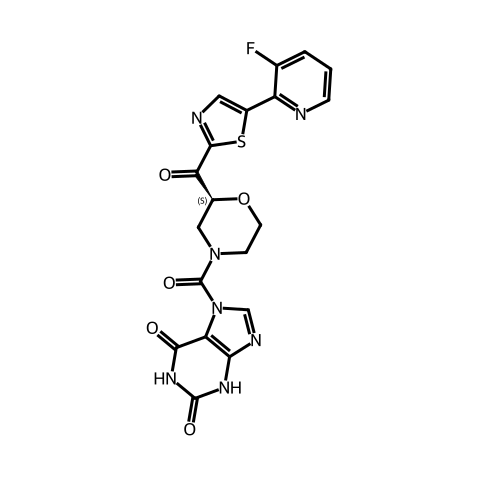 O=C(c1ncc(-c2ncccc2F)s1)[C@@H]1CN(C(=O)n2cnc3[nH]c(=O)[nH]c(=O)c32)CCO1